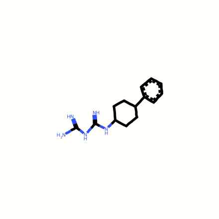 N=C(N)NC(=N)NC1CCC(c2ccccc2)CC1